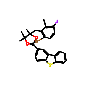 Cc1c(I)ccc(Br)c1CC1(C)OB(c2ccc3sc4ccccc4c3c2)OC1(C)C